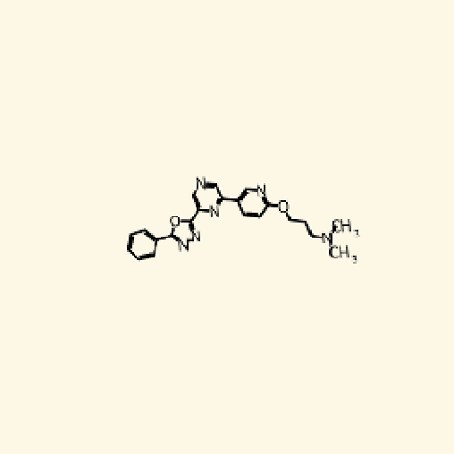 CN(C)CCCOc1ccc(-c2cncc(-c3nnc(-c4ccccc4)o3)n2)cn1